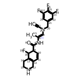 C#CN(/C=C(\C)NC(=O)C1C=CC2=C(CCNC2)C1F)Cc1cc(F)c(F)c(F)c1